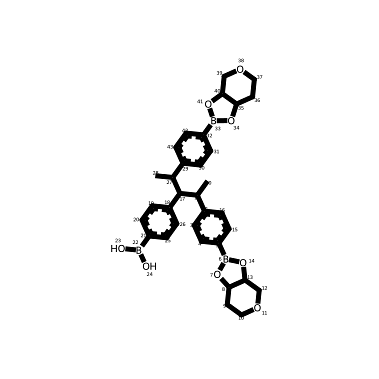 CC(c1ccc(B2OC3CCOCC3O2)cc1)C(c1ccc(B(O)O)cc1)C(C)c1ccc(B2OC3CCOCC3O2)cc1